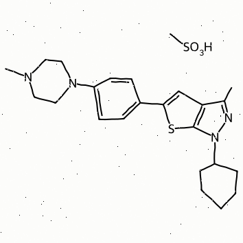 CS(=O)(=O)O.Cc1nn(C2CCCCC2)c2sc(-c3ccc(N4CCN(C)CC4)cc3)cc12